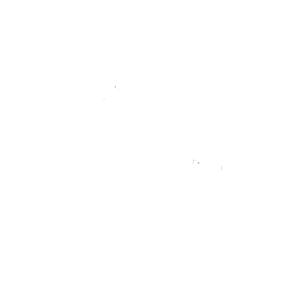 CN(Cc1ccccc1)Cc1ccc(-c2c[nH]c(=O)c3cccc(O)c23)cc1